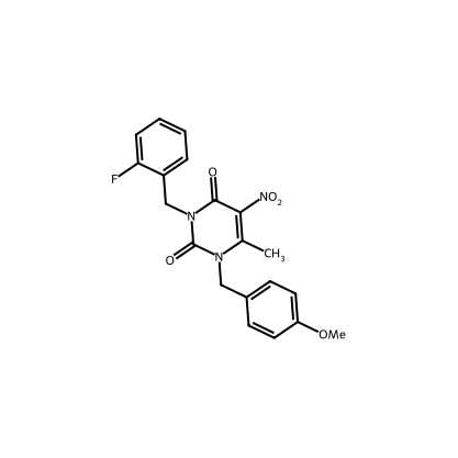 COc1ccc(Cn2c(C)c([N+](=O)[O-])c(=O)n(Cc3ccccc3F)c2=O)cc1